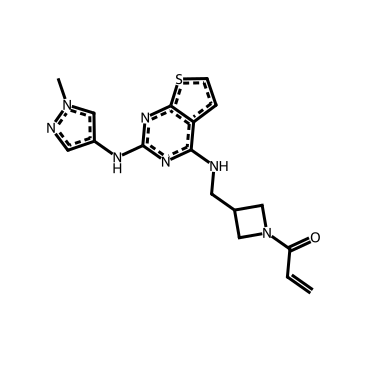 C=CC(=O)N1CC(CNc2nc(Nc3cnn(C)c3)nc3sccc23)C1